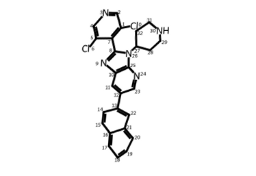 Clc1cncc(Cl)c1-c1nc2cc(-c3ccc4ccccc4c3)cnc2n1C1CCNCC1